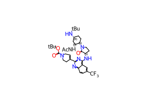 CC(=O)N[C@@H]1C[C@H](NC(C)(C)C)CC[C@@H]1N1CC[C@H](Nc2nc(C3=CCN(C(=O)OC(C)(C)C)CC3)nc3ccc(C(F)(F)F)cc23)C1=O